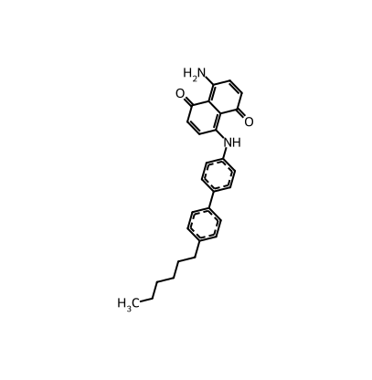 CCCCCCc1ccc(-c2ccc(NC3=C4C(=O)C=CC(N)=C4C(=O)C=C3)cc2)cc1